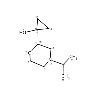 CC(C)N1CCO[C@H](C2(O)CC2)C1